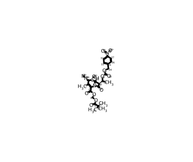 CC1=C(C(=O)OCOC(=O)C(C)(C)C)N2C(=O)[C@H](C(C)OC(=O)OCc3ccc([N+](=O)[O-])cc3)[C@H]2[S+]([O-])C1=[N+]=[N-]